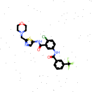 O=C(Nc1ccc(Cl)c(C(=O)Nc2cnc(CN3CCOCC3)s2)c1)c1cccc(C(F)(F)F)c1